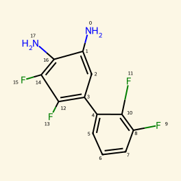 Nc1cc(-c2cccc(F)c2F)c(F)c(F)c1N